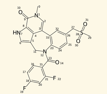 Cn1cc2c3c(c[nH]c3c1=O)CN(C(=O)c1ccc(F)cc1F)c1ccc(CS(C)(=O)=O)cc1-2